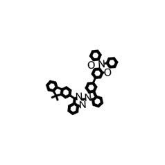 CC1(C)c2ccccc2-c2ccc(-c3nc(-n4c5ccccc5c5cc(-c6cc7c8c(c6)Oc6ccccc6N8c6ccccc6O7)ccc54)nc4ccccc34)cc21